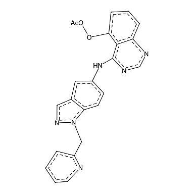 CC(=O)OOc1cccc2ncnc(Nc3ccc4c(cnn4Cc4ccccn4)c3)c12